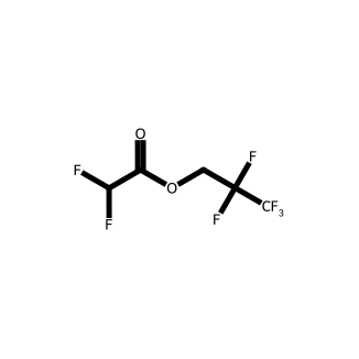 O=C(OCC(F)(F)C(F)(F)F)C(F)F